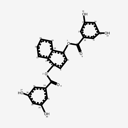 O=C(Oc1ccc(OC(=O)c2cc(O)cc(O)c2)c2ccccc12)c1cc(O)cc(O)c1